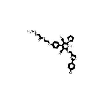 N#CC1=C(N2CCCC2)NC(SCc2csc(C3C=CC(Cl)=CC3)n2)C(C#N)=C1c1ccc(OCCOC(=O)CN=NN)cc1